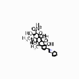 CC1c2ccc(/C=C/c3ccccc3)c(O)c2C(=O)C2=C(O)C3(O)C(=O)C(C(N)=O)=C(O)C(N(C)C)C3C(O)C21